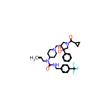 C=CCN(C(=O)NCc1ccc(C(F)(F)F)cc1)C1CCN(C[C@H]2CN(C(=O)C3CC3)C[C@]2(O)c2ccccc2)CC1